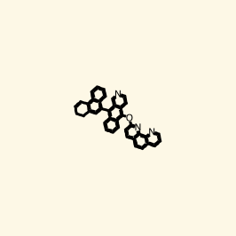 C1=Cc2c(cc(-c3c4ccccc4c(Oc4ccc5ccc6cccnc6c5n4)c4ccncc34)c3ccccc23)CC1